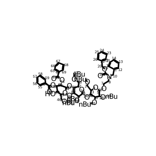 CCCCOCC1O[C@H](OCCN(Cc2ccccc2)C(=O)OCc2ccccc2)C(OCCCC)C(OCCCC)[C@H]1O[C@H]1OC(COCCCC)[C@@H](O[C@@H]2OC(CO)[C@@H](O)C(OC(=O)c3ccccc3)[C@@H]2OC(=O)c2ccccc2)[C@H](OCCCC)C1OCCCC